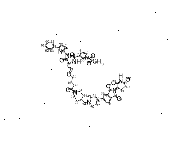 CS(=O)(=O)n1ccc(C(=O)N[C@@H](CCOCCCC(=O)N2CCC(CN3CCN(c4ccc5c(c4)C(=O)N(C4CCC(=O)NC4=O)C5=O)CC3)CC2)C(=O)Nc2nc(-c3ccccc3)cs2)c1